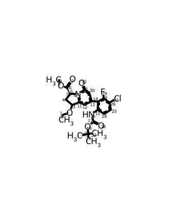 CCOC1C[C@@H](C(=O)OC)n2c1cc(-c1c(NC(=O)OC(C)(C)C)ccc(Cl)c1F)cc2=O